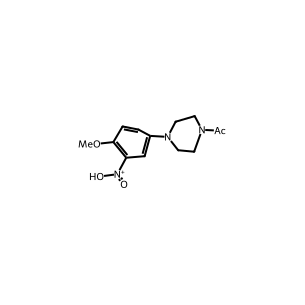 COc1ccc(N2CCN(C(C)=O)CC2)cc1[N+](=O)O